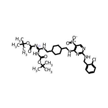 CC(C)(C)OC(=O)/N=C(/NCC1CCC(CNc2nc(NCc3ccccc3Cl)ncc2[N+](=O)[O-])CC1)NC(=O)OC(C)(C)C